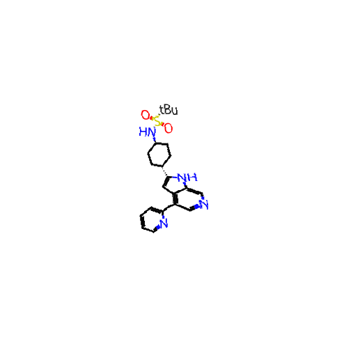 CC(C)(C)S(=O)(=O)N[C@H]1CC[C@H](c2cc3c(-c4ccccn4)cncc3[nH]2)CC1